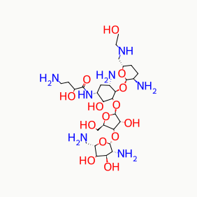 NCCC(O)C(=O)N[C@@H]1C[C@H](N)[C@@H](O[C@H]2O[C@H](CNCCO)CC[C@H]2N)[C@H](O[C@@H]2O[C@H](CO)[C@@H](O[C@H]3O[C@@H](CN)[C@@H](O)[C@H](O)[C@H]3N)[C@H]2O)[C@H]1O